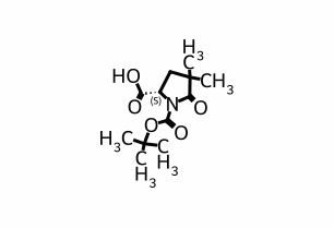 CC(C)(C)OC(=O)N1C(=O)C(C)(C)C[C@H]1C(=O)O